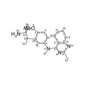 COc1ccc(N(C)c2nc(C)nc3ccccc23)cc1C(C)C(N)=O